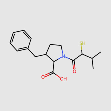 CC(C)C(S)C(=O)N1CCC(Cc2ccccc2)C1C(=O)O